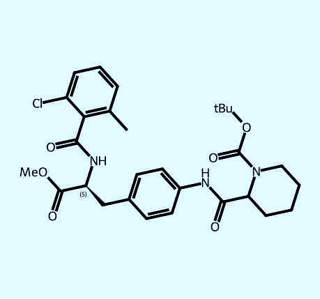 COC(=O)[C@H](Cc1ccc(NC(=O)C2CCCCN2C(=O)OC(C)(C)C)cc1)NC(=O)c1c(C)cccc1Cl